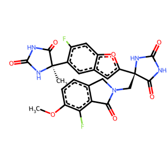 COc1ccc2c(c1F)C(=O)N(C[C@@]1(c3cc4cc([C@@]5(C)NC(=O)NC5=O)c(F)cc4o3)NC(=O)NC1=O)C2